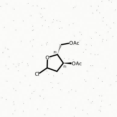 CC(=O)OC[C@H]1OC(Cl)C[C@@H]1OC(C)=O